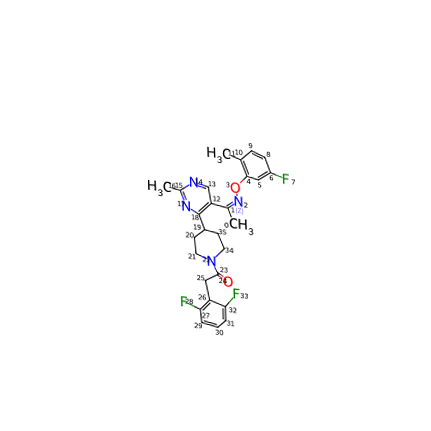 C/C(=N/Oc1cc(F)ccc1C)c1cnc(C)nc1C1CCN(C(=O)Cc2c(F)cccc2F)CC1